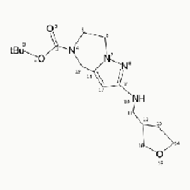 CC(C)(C)OC(=O)N1CCn2nc(NCC3CCOC3)cc2C1